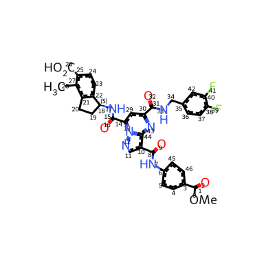 COC(=O)c1ccc(NC(=O)c2cnn3c(C(=O)N[C@H]4CCc5c4ccc(C(=O)O)c5C)cc(C(=O)NCc4ccc(F)c(F)c4)nc23)cc1